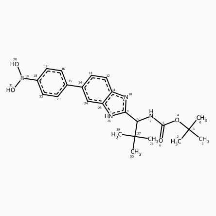 CC(C)(C)OC(=O)NC(c1nc2ccc(-c3ccc(B(O)O)cc3)cc2[nH]1)C(C)(C)C